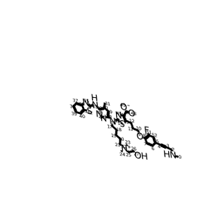 CNCC#Cc1ccc(OCCCc2sc(N(CCCCC[N+](C)(C)CCO)c3cc(C)c(Nc4nc5ccccc5s4)nn3)nc2C(=O)[O-])c(F)c1